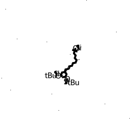 C[C@H](CCCC=CC=C1C[C@@H](O[Si](C)(C)C(C)(C)C)C[C@H](O[Si](C)(C)C(C)(C)C)C1)CCCC(C)(C)O[Si](C)(C)C